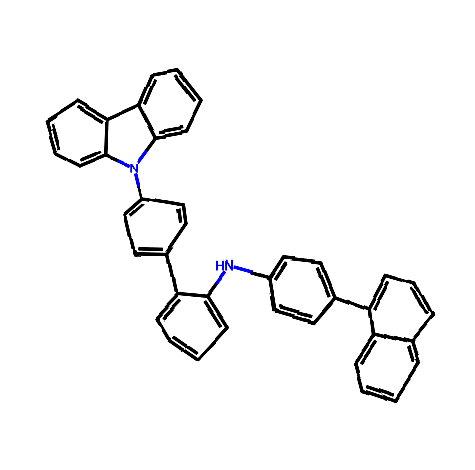 c1ccc(-c2ccc(-n3c4ccccc4c4ccccc43)cc2)c(Nc2ccc(-c3cccc4ccccc34)cc2)c1